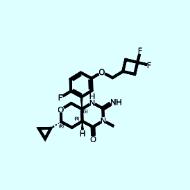 CN1C(=N)N[C@@]2(c3cc(OCC4CC(F)(F)C4)ccc3F)CO[C@@H](C3CC3)C[C@H]2C1=O